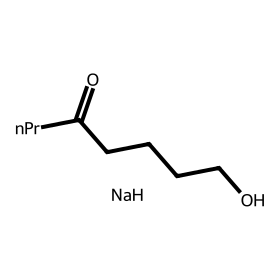 CCCC(=O)CCCCO.[NaH]